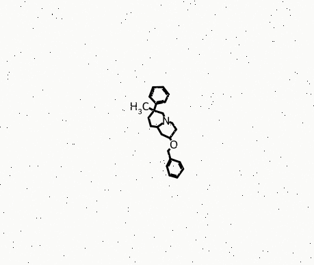 CC1(c2ccccc2)CCC2CC(OCc3ccccc3)CCN2C1